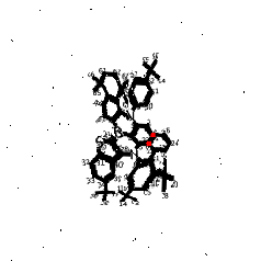 Cc1cc2c3c(c1)N(c1cc(C(C)(C)C)cc(C(C)(C)C)c1-c1ccccc1)c1c(sc4ccc(C(C)(C)C)cc14)B3c1ccc3c(c1N2c1ccc(C(C)(C)C)cc1)C(C)(C)CCC3(C)C